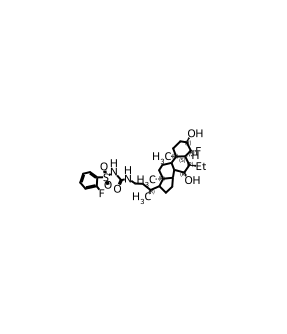 CC[C@@H]1[C@@H]2[C@@H](F)[C@H](O)CC[C@]2(C)C2CC[C@@]3(C)C(CCC3[C@H](C)CCNC(=O)NS(=O)(=O)c3ccccc3F)C2[C@@H]1O